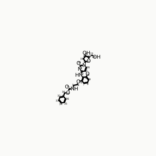 O=C(NCCOc1cccc2c1Nc1nc(=O)n(C3C[C@@H](O)[C@@H](CO)O3)cc1O2)OCc1ccccc1